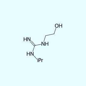 CC(C)NC(=N)NCCO